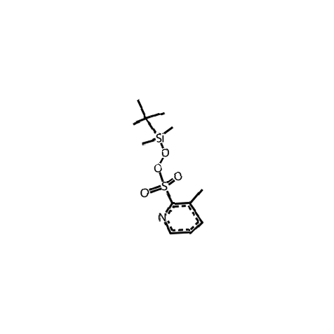 Cc1cccnc1S(=O)(=O)OO[Si](C)(C)C(C)(C)C